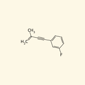 C=C(C)C#Cc1cccc(F)c1